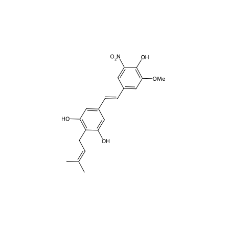 COc1cc(C=Cc2cc(O)c(CC=C(C)C)c(O)c2)cc([N+](=O)[O-])c1O